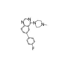 CN1CCN(c2ncnc3ccc(-c4ccc(F)cc4)cc23)CC1